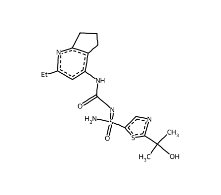 CCc1cc(NC(=O)N=S(N)(=O)c2cnc(C(C)(C)O)s2)c2c(n1)CCC2